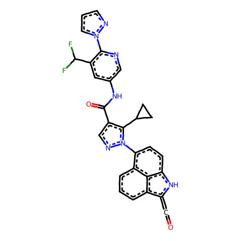 O=C=c1[nH]c2ccc(-n3ncc(C(=O)Nc4cnc(-n5cccn5)c(C(F)F)c4)c3C3CC3)c3cccc1c23